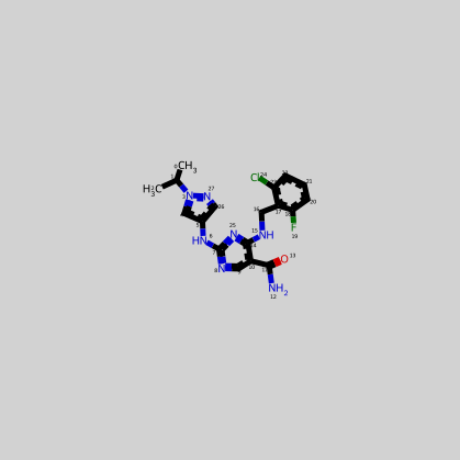 CC(C)n1cc(Nc2ncc(C(N)=O)c(NCc3c(F)cccc3Cl)n2)cn1